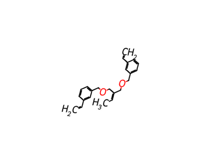 C=Cc1cccc(COCC(=CC)COCc2cccc(C=C)c2)c1